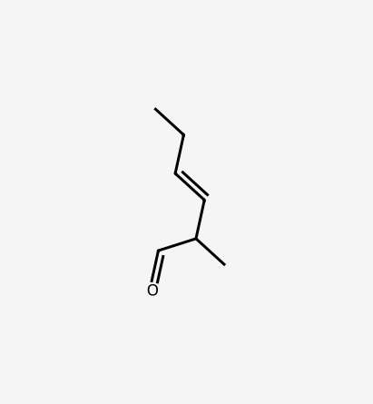 CCC=CC(C)C=O